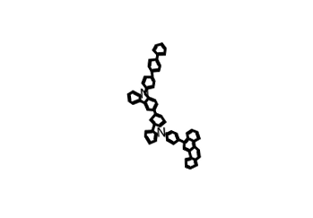 c1ccc(-c2ccc(-c3ccc(-n4c5ccccc5c5cc(-c6ccc7c(c6)c6ccccc6n7-c6ccc(-c7cc8c9ccccc9ccc8c8ccccc78)cc6)ccc54)cc3)cc2)cc1